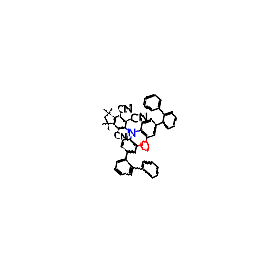 CC1(C)CC(C)(C)c2c(C#N)c(N3c4ccc(-c5ccccc5-c5ccccc5)cc4Oc4cc(-c5ccccc5-c5ccccc5)ccc43)c(C#N)c(C#N)c21